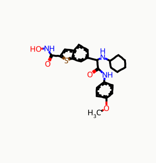 COc1ccc(NC(=O)C(NC2CCCCC2)c2ccc3cc(C(=O)NO)sc3c2)cc1